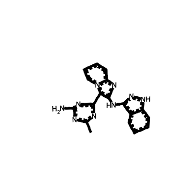 Cc1nc(N)nc(-c2c(Nc3n[nH]c4ccccc34)nc3ccccn23)n1